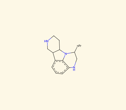 CCCC1CNc2cccc3c2N1C1CCNCC31